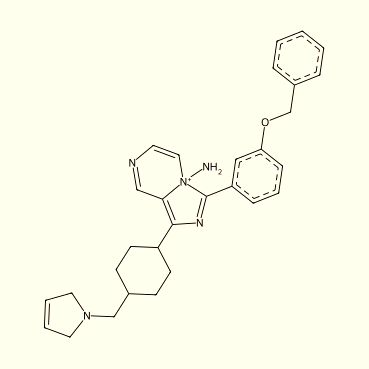 N[N+]12C=CN=CC1=C(C1CCC(CN3CC=CC3)CC1)N=C2c1cccc(OCc2ccccc2)c1